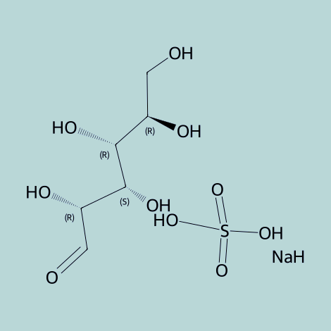 O=C[C@H](O)[C@@H](O)[C@H](O)[C@H](O)CO.O=S(=O)(O)O.[NaH]